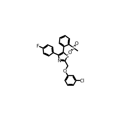 CS(=O)(=O)c1ccccc1-c1sc(COc2cccc(Cl)c2)nc1-c1ccc(F)cc1